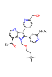 CCC(=O)c1ccnc2c(-c3ccc(CO)nc3)c(-c3ccnc(NC(C)=O)c3)n(COCC[Si](C)(C)C)c12